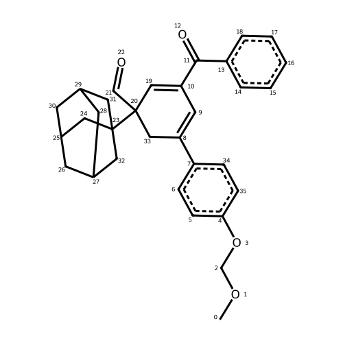 COCOc1ccc(C2=CC(C(=O)c3ccccc3)=CC(C=O)(C34CC5CC(CC(C5)C3)C4)C2)cc1